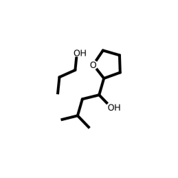 CC(C)CC(O)C1CCCO1.CCCO